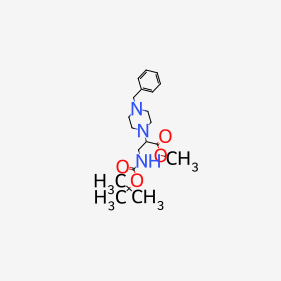 COC(=O)C(CNC(=O)OC(C)(C)C)N1CCN(Cc2ccccc2)CC1